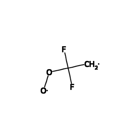 [CH2]C(F)(F)O[O]